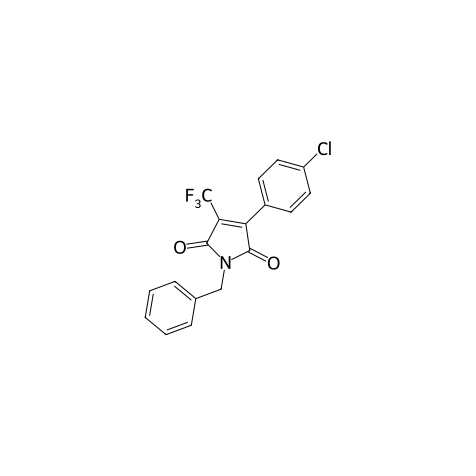 O=C1C(c2ccc(Cl)cc2)=C(C(F)(F)F)C(=O)N1Cc1ccccc1